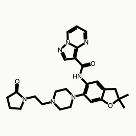 CC1(C)Cc2cc(NC(=O)c3cnn4cccnc34)c(N3CCN(CCN4CCCC4=O)CC3)cc2O1